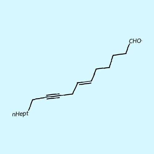 CCCCCCCCC#CCC=CCCCC[C]=O